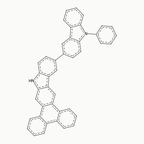 c1ccc(-n2c3ccccc3c3cc(-c4ccc5[nH]c6cc7c8ccccc8c8ccccc8c7cc6c5c4)ccc32)cc1